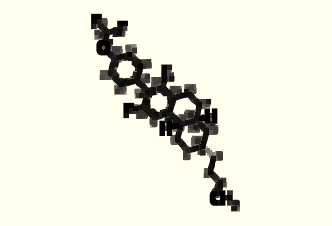 C=CCC[C@@H]1CC[C@@H]2c3cc(F)c(-c4ccc(OC(F)F)cc4)c(F)c3CC[C@@H]2C1